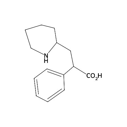 O=C(O)C(CC1CCCCN1)c1ccccc1